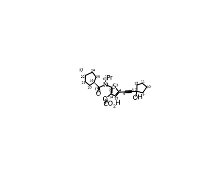 CC(C)N(c1sc(C#CC2(O)CCCC2)cc1OC(=O)O)C(=O)[C@H]1CC[C@H](C)CC1